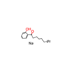 CC(C)CCCCCC(=O)c1ccccc1O.[Na]